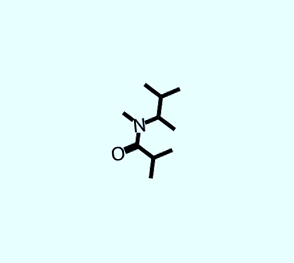 CC(C)C(=O)N(C)C(C)C(C)C